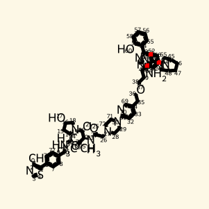 Cc1ncsc1-c1ccc(CNC(=O)[C@@H]2C[C@@H](O)CN2C(=O)[C@@H](NC(=O)CN2CCN(c3ccc(CCOCCCc4cc(N5C6CCC5CN(c5cc(-c7ccccc7O)nnc5N)C6)ccn4)cn3)CC2)C(C)(C)C)cc1